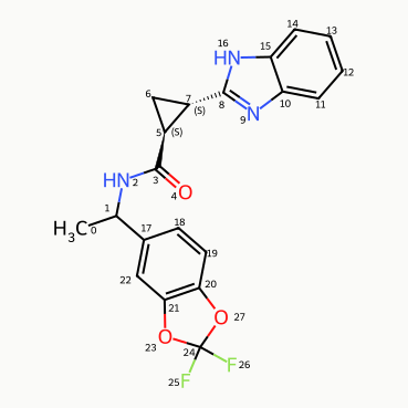 CC(NC(=O)[C@H]1C[C@@H]1c1nc2ccccc2[nH]1)c1ccc2c(c1)OC(F)(F)O2